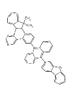 CC1(C)c2ccccc2-c2c1c1ccc(-c3c4ccccc4c(-c4ccc5c(c4)oc4ccccc45)c4ccccc34)cc1c1ccccc21